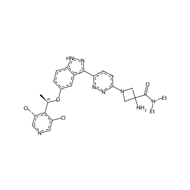 CCN(CC)C(=O)C1(N)CN(c2ccc(-c3n[nH]c4ccc(O[C@H](C)c5c(Cl)cncc5Cl)cc34)nn2)C1